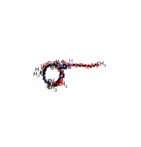 COCCOCCOCCOCCOCCNC(=O)O[C@@H]1CC[C@@H](C[C@@H](N)[C@@H]2CC(=O)[C@H](C)/C=C(\C)[C@@H](O)[C@@H](O)C(=O)[C@H](C)C[C@H](C)/C=C/C=C/C=C(\C)[C@@H](OC)C[C@@H]3CC[C@@H](C)[C@@](O)(O3)C(=O)C(=O)N3CCCC[C@H]3C(=O)O2)C[C@H]1OC